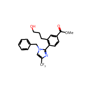 COC(=O)c1ccc(-c2nc(C(F)(F)F)cn2Cc2ccccc2)c(CCCO)c1